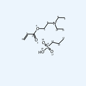 C=CC(=O)OCCN(CC)CC.CCCS(=O)(=O)O